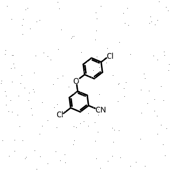 N#Cc1cc(Cl)cc(Oc2ccc(Cl)cc2)c1